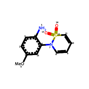 COc1ccc(N)c(N2C=CC=CS2(=O)=O)c1